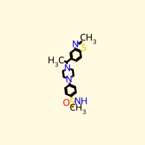 Cc1nc2cc(C(C)N3CCN(c4ccc(S(C)(=N)=O)cc4)CC3)ccc2s1